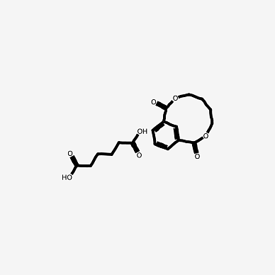 O=C(O)CCCCC(=O)O.O=C1OCCCCOC(=O)c2cccc1c2